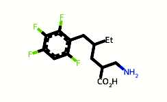 CCC(Cc1c(F)cc(F)c(F)c1F)CC(CN)C(=O)O